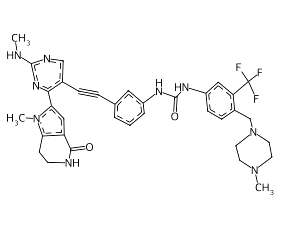 CNc1ncc(C#Cc2cccc(NC(=O)Nc3ccc(CN4CCN(C)CC4)c(C(F)(F)F)c3)c2)c(-c2cc3c(n2C)CCNC3=O)n1